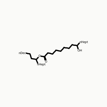 CCCCCCCCCCCCC(CCCCCCC)OC(=O)CCCCCCCC(O)CCCCCCC